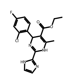 CCOC(=O)C1=C(C)NC(c2ncc[nH]2)=NC1c1ccc(F)cc1Cl